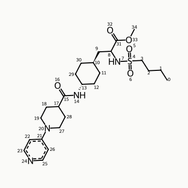 CCCCS(=O)(=O)NC(C[C@H]1CC[C@H](NC(=O)C2CCN(c3ccncc3)CC2)CC1)C(=O)OC